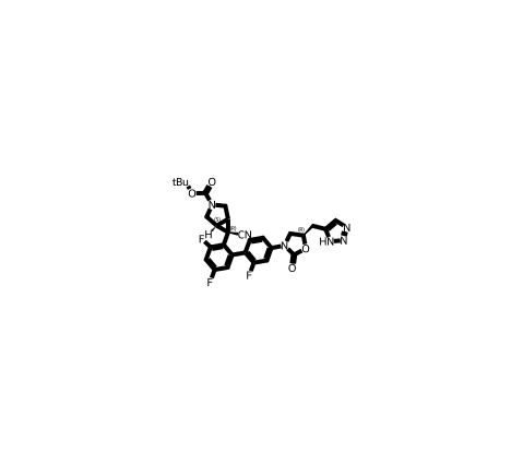 CC(C)(C)OC(=O)N1CC2[C@H](C1)[C@@]2(C#N)c1c(F)cc(F)cc1-c1ccc(N2C[C@@H](Cc3cnn[nH]3)OC2=O)cc1F